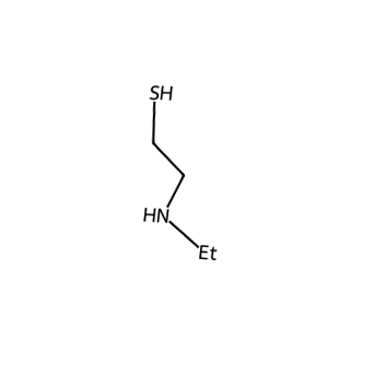 [CH]CNCCS